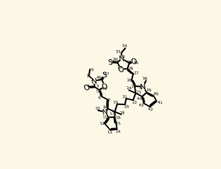 CCN1C(=O)C(=CC=C2N(C)c3ccccc3C2(C)CCCCC2(C)C(=CC=C3OC(=S)N(CC)C3=O)N(C)c3ccccc32)OC1=S